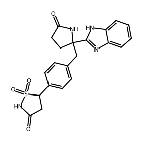 O=C1CCC(Cc2ccc(C3CC(=O)NS3(=O)=O)cc2)(c2nc3ccccc3[nH]2)N1